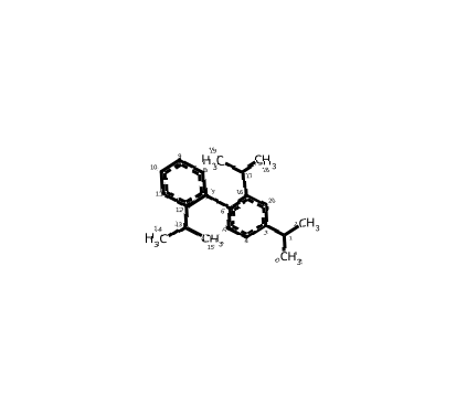 CC(C)c1ccc(-c2ccccc2C(C)C)c(C(C)C)c1